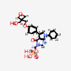 O=c1c2c(-c3ccc(OCC4(CO)COC4)cc3)cn(-c3ccccc3)c2ncn1COP(=O)(O)O